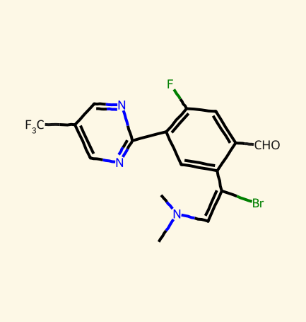 CN(C)/C=C(/Br)c1cc(-c2ncc(C(F)(F)F)cn2)c(F)cc1C=O